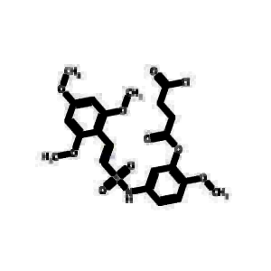 COc1cc(OC)c(/C=C/S(=O)(=O)Nc2ccc(OC)c(OC(=O)CCC(=O)Cl)c2)c(OC)c1